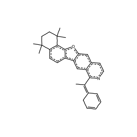 C/C(=C1/C=CC=CC1)c1nccc2cc3oc4c5c(ccc4c3cc12)C(C)(C)CCC5(C)C